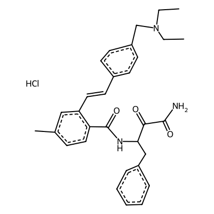 CCN(CC)Cc1ccc(/C=C/c2cc(C)ccc2C(=O)NC(Cc2ccccc2)C(=O)C(N)=O)cc1.Cl